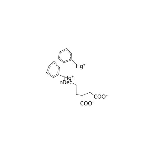 CCCCCCCCCC/C=C/C(CC(=O)[O-])C(=O)[O-].[Hg+][c]1ccccc1.[Hg+][c]1ccccc1